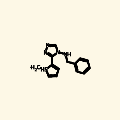 [CH2][SH]1C=CC=C1c1nncn1NCc1ccccc1